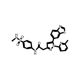 CNS(=O)(=O)c1ccc(NC(=O)Cc2cc(-c3ccc4ncsc4c3)n(-c3cccc(C)n3)n2)cc1